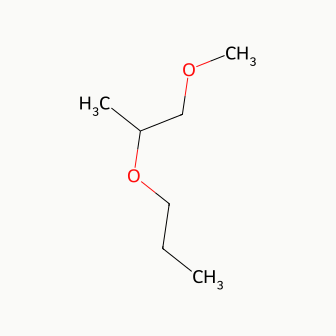 CCCOC(C)COC